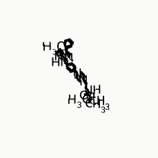 Cc1ccccc1-c1cnc(Nc2ccc(N3CCN(CCNC(=O)OC(C)(C)C)CC3)cc2)c2nccn12